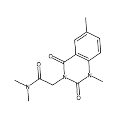 Cc1ccc2c(c1)c(=O)n(CC(=O)N(C)C)c(=O)n2C